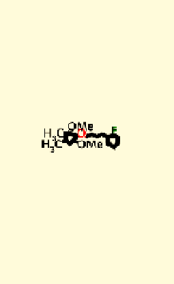 COc1cc(C)c(C)c(OC)c1OCCCCc1ccccc1F